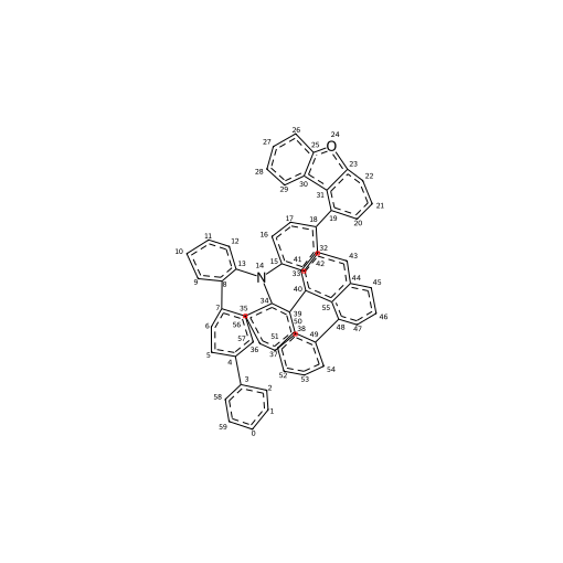 c1ccc(-c2ccc(-c3ccccc3N(c3ccc(-c4cccc5oc6ccccc6c45)cc3)c3ccccc3-c3cccc4cccc(-c5ccccc5)c34)cc2)cc1